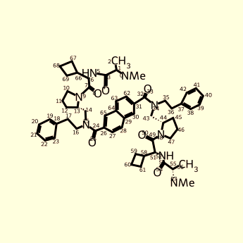 CNC(C)C(=O)N[C@H](C(=O)N1CCC[C@H]1CN(CCc1ccccc1)C(=O)c1ccc2cc(C(=O)N(CCc3ccccc3)C[C@@H]3CCCN3C(=O)[C@@H](NC(=O)[C@H](C)NC)C3CCC3)ccc2c1)C1CCC1